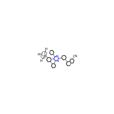 N#Cc1ccc2cccc(-c3cccc(-c4nc(-c5ccccc5)nc(-c5ccccc5-c5ccc(C67C[C@H]8C[C@H](C6)C[C@@H](C7)C8)cc5)n4)c3)c2c1